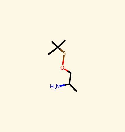 CC(N)COSC(C)(C)C